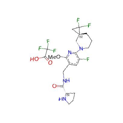 COc1nc(N2CCC[C@@]3(C2)CC3(F)F)c(F)cc1CNC(=O)[C@@H]1CCCN1.O=C(O)C(F)(F)F